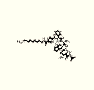 CCC[C@H](NC(=O)[C@@H]1C2CCC[C@H]2CN1C(=O)[C@@H](NC(=O)[C@@H](NC(=O)c1cnc(C(=O)NCCCCCCCCN)cn1)C1CCCCC1)C(C)(C)C)C(=O)C(=O)NC1CC1